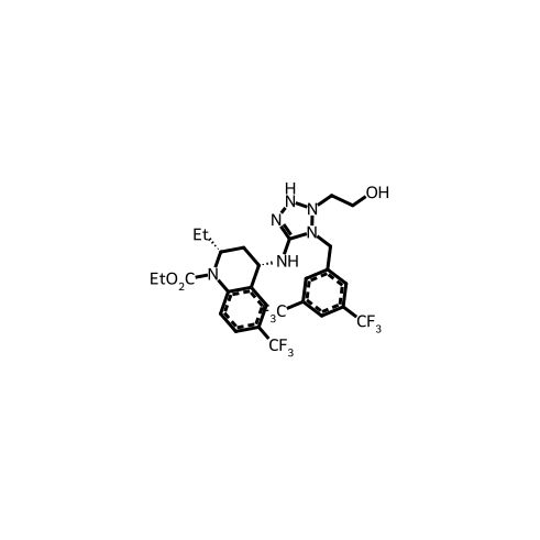 CCOC(=O)N1c2ccc(C(F)(F)F)cc2[C@@H](NC2=NNN(CCO)N2Cc2cc(C(F)(F)F)cc(C(F)(F)F)c2)C[C@H]1CC